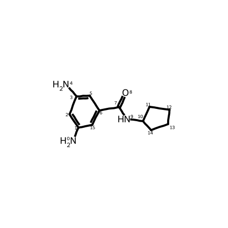 Nc1cc(N)cc(C(=O)NC2CCCC2)c1